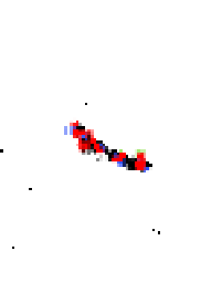 COc1cc(N2CCN(CCC3CCN(c4ncc(-c5ccc6c7cnccc7n(C(F)F)c6c5)cc4F)CC3)CC2)cc2c1C(=O)N(C1CCC(=O)NC1=O)C2=O